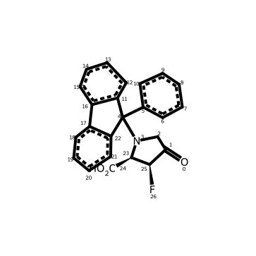 O=C1CN(C2(c3ccccc3)c3ccccc3-c3ccccc32)[C@H](C(=O)O)[C@@H]1F